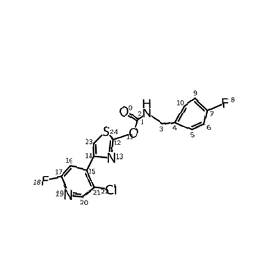 O=C(NCc1ccc(F)cc1)Oc1nc(-c2cc(F)ncc2Cl)cs1